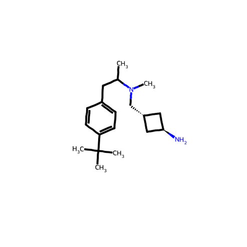 CC(Cc1ccc(C(C)(C)C)cc1)N(C)C[C@H]1C[C@H](N)C1